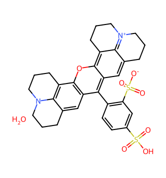 O.O=S(=O)([O-])c1cc(S(=O)(=O)O)ccc1C1=c2cc3c4c(c2Oc2c1cc1c5c2CCCN5CCC1)CCC[N+]=4CCC3